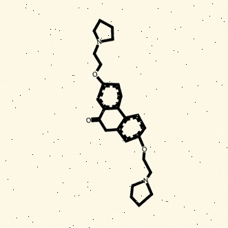 O=C1Cc2cc(OCCN3CCCC3)ccc2-c2ccc(OCCN3CCCC3)cc21